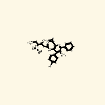 CCC(C(O)CC(=O)Oc1c(C2CC2)nc(-c2ccccc2)c(C)c1-c1ccc(F)cc1)[PH](=O)O